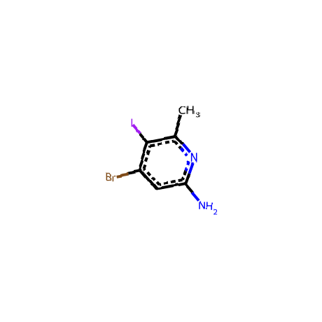 Cc1nc(N)cc(Br)c1I